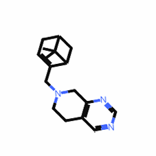 CC1(C)C2CC=C(CN3CCc4[c]ncnc4C3)C1C2